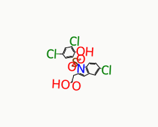 O=C(O)Cc1cc2cc(Cl)ccc2n1S(=O)(=O)c1cc(Cl)cc(Cl)c1O